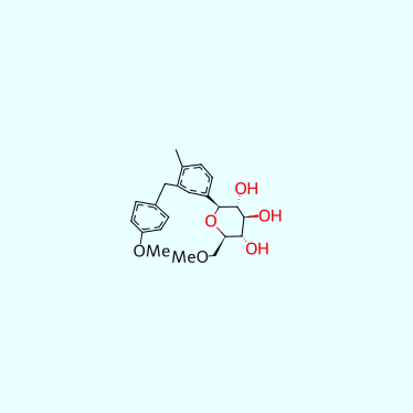 COC[C@H]1O[C@@H](c2ccc(C)c(Cc3ccc(OC)cc3)c2)[C@H](O)[C@@H](O)[C@@H]1O